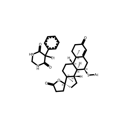 CC(=O)S[C@@H]1CC2=CC(=O)CC[C@]2(C)[C@H]2CC[C@@]3(C)[C@@H](CC[C@@]34CCC(=O)O4)[C@H]12.CCC1(c2ccccc2)C(=O)NCNC1=O